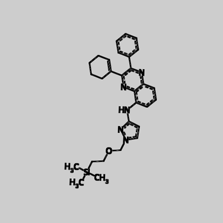 C[Si](C)(C)CCOCn1ccc(Nc2cccc3nc(-c4ccccc4)c(C4=CCCCC4)nc23)n1